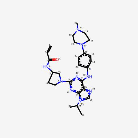 C=CC(=O)NC1CCN(c2nc(Nc3ccc(N4CCN(C)CC4)cc3)c3ncn(C(C)C)c3n2)C1